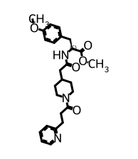 COC(=O)[C@H](Cc1ccc(OC)cc1)NC(=O)CC1CCN(C(=O)CCc2ccccn2)CC1